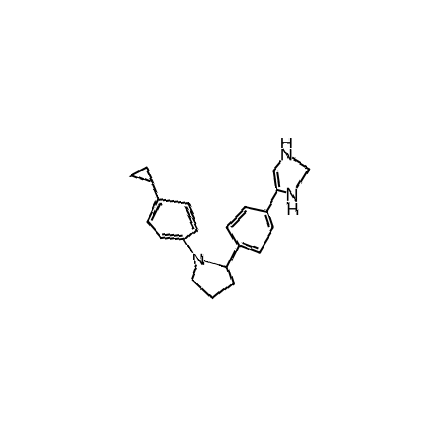 C1=C(c2ccc(C3CCCN3c3ccc(C4CC4)cc3)cc2)NCN1